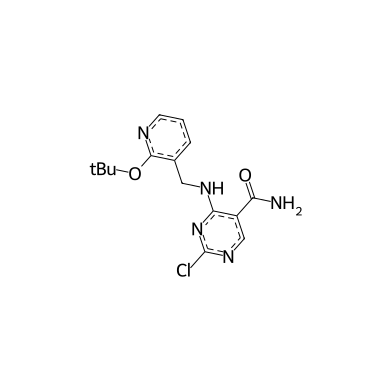 CC(C)(C)Oc1ncccc1CNc1nc(Cl)ncc1C(N)=O